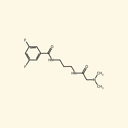 CN(C)CC(=O)NCCCNC(=O)c1cc(F)cc(F)c1